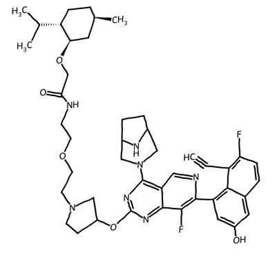 C#Cc1c(F)ccc2cc(O)cc(-c3ncc4c(N5CC6CCC(C5)N6)nc(OC5CCN(CCOCCNC(=O)CO[C@@H]6C[C@H](C)CC[C@H]6C(C)C)C5)nc4c3F)c12